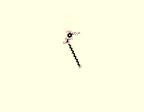 CCC=CCC=CCC=CCC=CCC=CCCOC(CC)C(=O)Nc1ccc(O)c(C(=O)O)c1